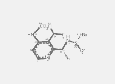 C[C@@H](N[S@@+]([O-])C(C)(C)C)c1nccc(NC(=O)O)c1C(F)F